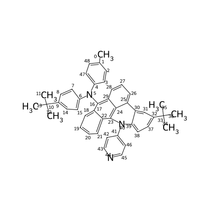 Cc1ccc(N(c2ccc(C(C)(C)C)cc2)c2c3ccccc3c3c4c(cccc24)-c2cc(C(C)(C)C)ccc2N3c2ccncc2)cc1